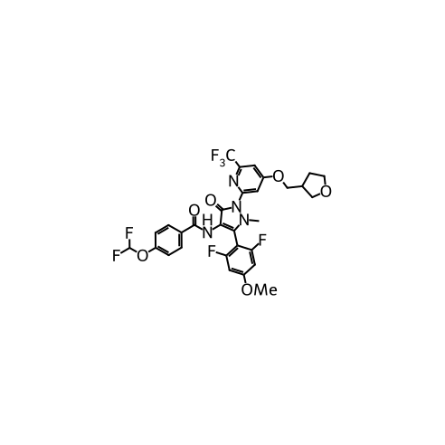 COc1cc(F)c(-c2c(NC(=O)c3ccc(OC(F)F)cc3)c(=O)n(-c3cc(OCC4CCOC4)cc(C(F)(F)F)n3)n2C)c(F)c1